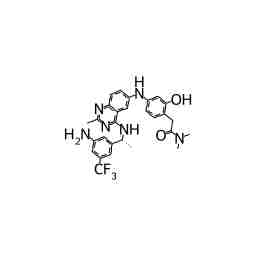 Cc1nc(N[C@H](C)c2cc(N)cc(C(F)(F)F)c2)c2cc(Nc3ccc(CC(=O)N(C)C)c(O)c3)ccc2n1